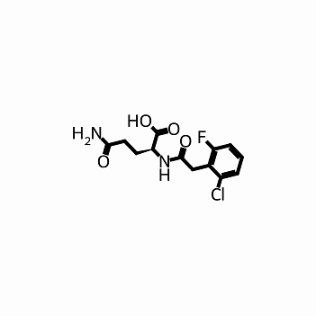 NC(=O)CC[C@H](NC(=O)Cc1c(F)cccc1Cl)C(=O)O